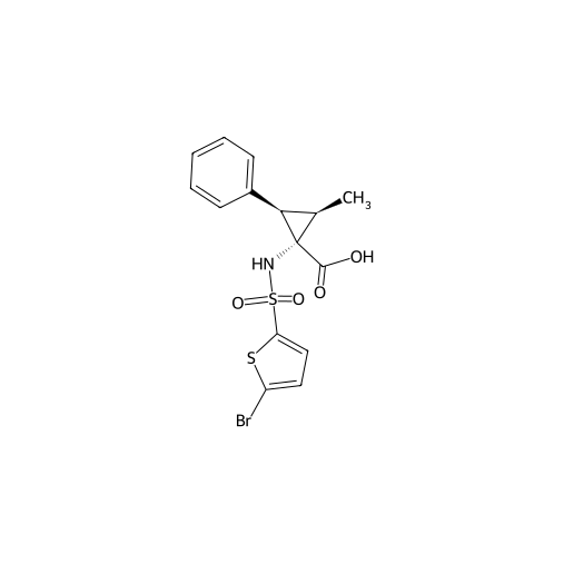 C[C@@H]1[C@H](c2ccccc2)[C@]1(NS(=O)(=O)c1ccc(Br)s1)C(=O)O